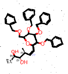 CC[C@@H](O)[C@@H](O)[C@@H](C)/C=C\C1OC(COCc2ccccc2)C(OCc2ccccc2)C(OCc2ccccc2)C1OCc1ccccc1